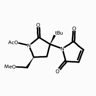 COC[C@@H]1C[C@](N2C(=O)C=CC2=O)(C(C)(C)C)C(=O)N1OC(C)=O